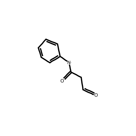 O=CCC(=O)[N]c1ccccc1